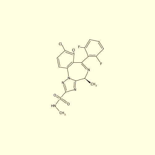 CNS(=O)(=O)c1nc2n(n1)-c1ccc(Cl)c(Cl)c1C(c1c(F)cccc1F)=N[C@H]2C